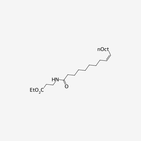 CCCCCCCC/C=C\CCCCCCCC(=O)NCCC(=O)OCC